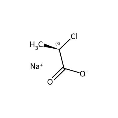 C[C@@H](Cl)C(=O)[O-].[Na+]